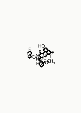 C#Cc1c(F)c(F)cc2cc(O)cc(-c3ncc4c(N5CC6CCC(COC)(C5)N6)nc(OC[C@@]56CCCN5C[C@H](F)C6)nc4c3F)c12